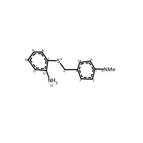 CNc1ccc(CSc2ccccc2N)cc1